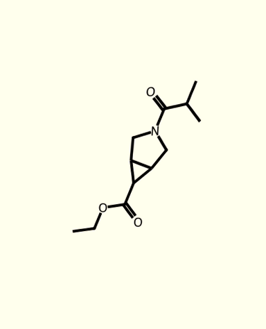 CCOC(=O)C1C2CN(C(=O)C(C)C)CC21